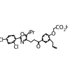 C=CCc1cc(C(=O)CCc2nc(-c3ccc(Cl)cc3Cl)oc2C(C)C)ccc1OCC(=O)O